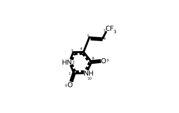 O=c1[nH]cc(C=CC(F)(F)F)c(=O)[nH]1